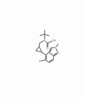 Cn1cc2c(C3CC3CN(C(=O)O)C(C)(C)C)c(F)ccc2n1